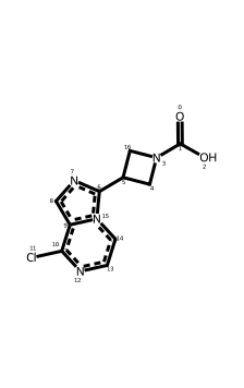 O=C(O)N1CC(c2ncc3c(Cl)nccn23)C1